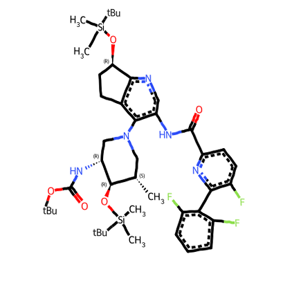 C[C@H]1CN(c2c(NC(=O)c3ccc(F)c(-c4c(F)cccc4F)n3)cnc3c2CC[C@H]3O[Si](C)(C)C(C)(C)C)C[C@@H](NC(=O)OC(C)(C)C)[C@@H]1O[Si](C)(C)C(C)(C)C